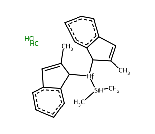 CC1=Cc2ccccc2[CH]1[Hf]([CH]1C(C)=Cc2ccccc21)[SiH](C)C.Cl.Cl